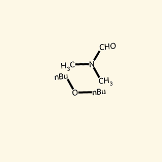 CCCCOCCCC.CN(C)C=O